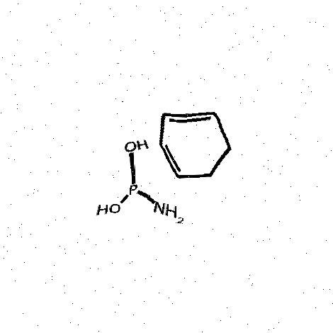 C1=CCCC=C1.NP(O)O